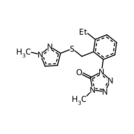 CCc1cccc(-n2nnn(C)c2=O)c1CSc1ccn(C)n1